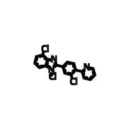 Clc1cc(-c2nc3c(Cl)cccc3n2Cl)ccc1-c1ccccn1